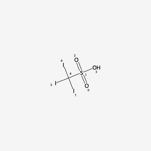 O=S(=O)(O)C(I)(I)I